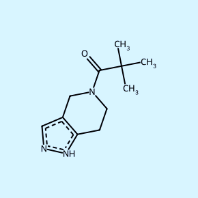 CC(C)(C)C(=O)N1CCc2[nH]ncc2C1